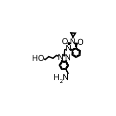 NCc1ccc2c(c1)nc(Cn1c(=O)n(C3CC3)c(=O)c3ccccc31)n2CCCCO